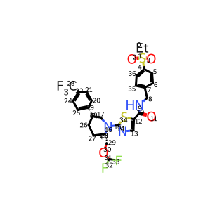 CCS(=O)(=O)c1ccc(CNC(=O)c2cnc(N3C[C@@H](c4ccc(C(F)(F)F)cc4)CC[C@H]3COC(F)F)s2)cc1